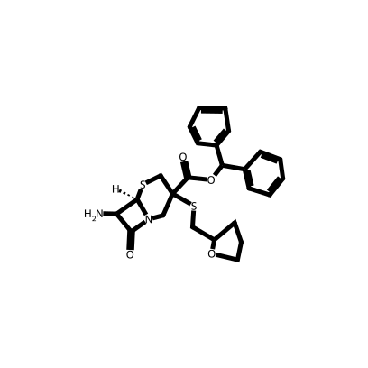 NC1C(=O)N2CC(SCC3CCCO3)(C(=O)OC(c3ccccc3)c3ccccc3)CS[C@H]12